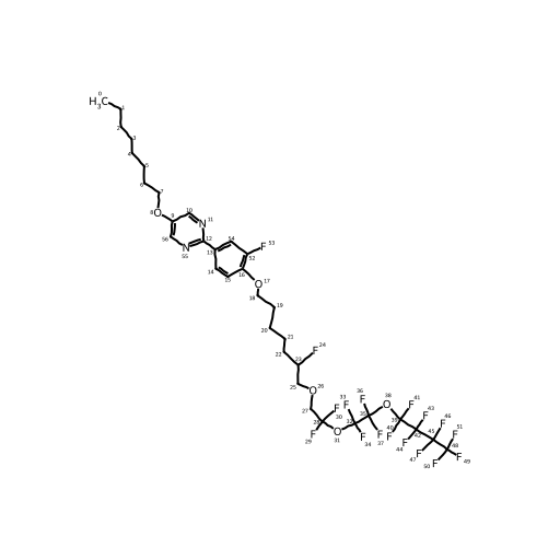 CCCCCCCCOc1cnc(-c2ccc(OCCCCCC(F)COCC(F)(F)OC(F)(F)C(F)(F)OC(F)(F)C(F)(F)C(F)(F)C(F)(F)F)c(F)c2)nc1